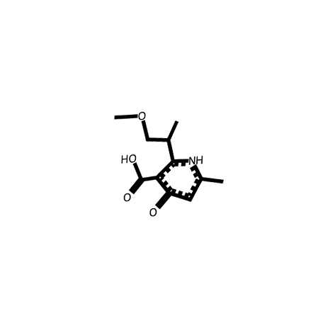 COCC(C)c1[nH]c(C)cc(=O)c1C(=O)O